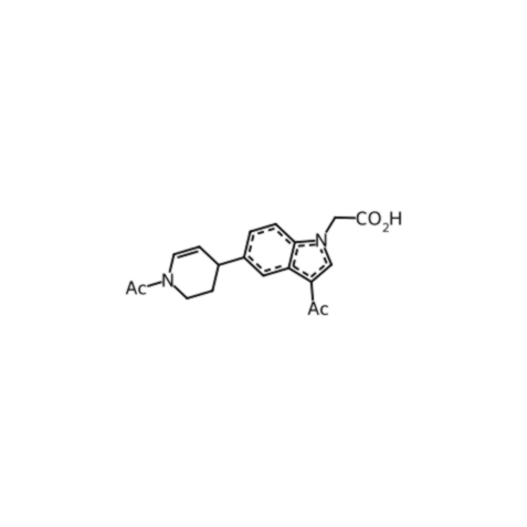 CC(=O)c1cn(CC(=O)O)c2ccc(C3C=CN(C(C)=O)CC3)cc12